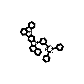 c1ccc(-c2nc(-c3ccccc3)nc(-c3cccc(-n4c5cc6c(cc5c5ccc7ccccc7c54)c4cccc5c7ccccc7n6c54)c3)n2)cc1